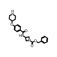 O=C(NC1CN(C(=O)OCc2ccccc2)C1)c1ccc(OC2CCNCC2)cc1